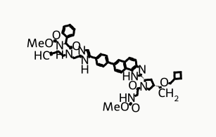 C#CCCN(Cc1ncc(-c2ccc(-c3ccc4c(ccc5nc([C@@H]6C[C@H](C(=C)OCC7CCC7)CN6C(=O)CNC(=O)OC)[nH]c54)c3)cc2)[nH]1)C(=O)[C@H](NC(=O)OC)c1ccccc1